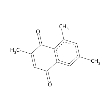 CC1=CC(=O)c2cc(C)cc(C)c2C1=O